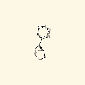 c1nnnnc1C1=C2CCC(C2)C1